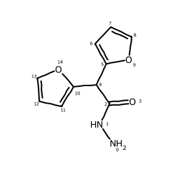 NNC(=O)C(c1ccco1)c1ccco1